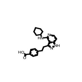 O=C(O)c1ccc(CCc2n[nH]c3ccnc(NC4CCCCC4)c23)cc1